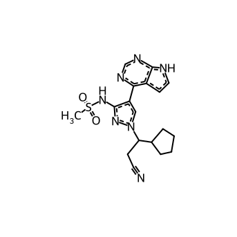 CS(=O)(=O)Nc1nn(C(CC#N)C2CCCC2)cc1-c1ncnc2[nH]ccc12